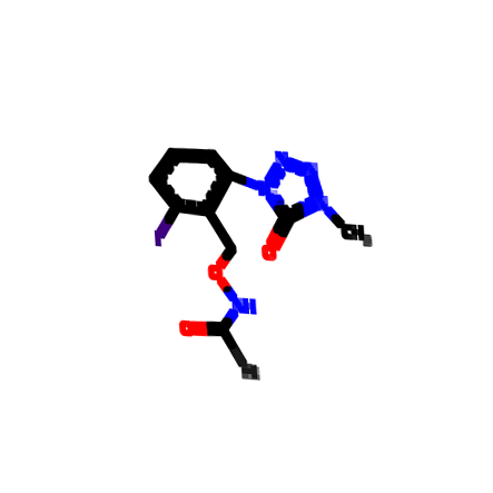 CCC(=O)NOCc1c(I)cccc1-n1nnn(C)c1=O